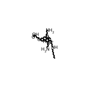 CCCCCCCCNCCC[C@@H](C)[C@H]1CC[C@H]2C3[C@H](OCCCN)CC4C[C@H](OCCCC(=O)O)CC[C@]4(C)[C@H]3C[C@H](OCCCN)[C@]12C